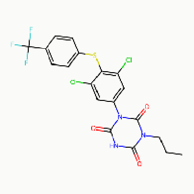 CCCn1c(=O)[nH]c(=O)n(-c2cc(Cl)c(Sc3ccc(C(F)(F)F)cc3)c(Cl)c2)c1=O